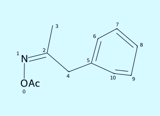 CC(=O)O/N=C(/C)Cc1ccccc1